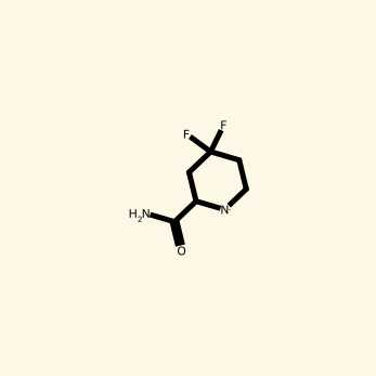 NC(=O)C1CC(F)(F)CC[N]1